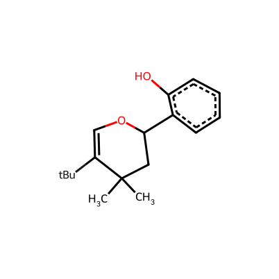 CC(C)(C)C1=COC(c2ccccc2O)CC1(C)C